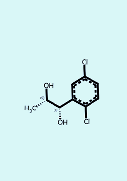 C[C@H](O)[C@@H](O)c1cc(Cl)ccc1Cl